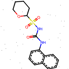 O=C(Nc1cccc2ccccc12)NS(=O)(=O)C1CCCCO1